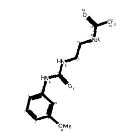 COc1cccc(NC(=O)NCCNC(=O)C(F)(F)F)c1